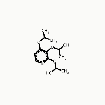 CC(C)Oc1bccc(OC(C)C)c1OC(C)C